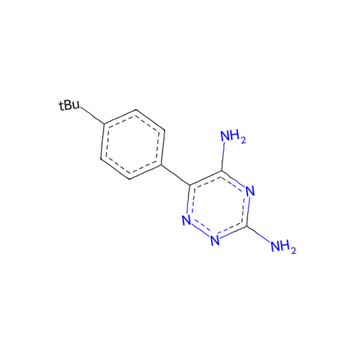 CC(C)(C)c1ccc(-c2nnc(N)nc2N)cc1